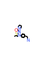 Cc1cn(-c2ccc(CC#N)cc2)/c(=N/C(=O)N2CCCC2)s1